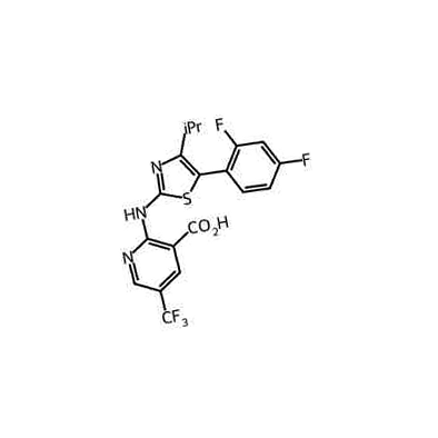 CC(C)c1nc(Nc2ncc(C(F)(F)F)cc2C(=O)O)sc1-c1ccc(F)cc1F